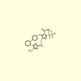 CCCc1nc(C(F)(F)C(F)(F)F)c(C(=O)O)n1Cc1ccc(-c2ccccc2-c2nnnn2C)cc1